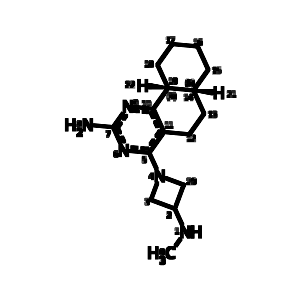 CNC1CN(c2nc(N)nc3c2CC[C@H]2CCCC[C@@H]32)C1